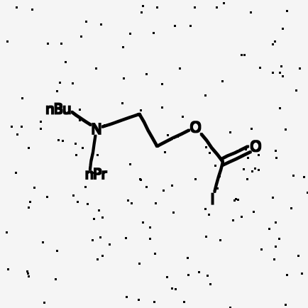 CCCCN(CCC)CCOC(=O)I